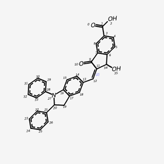 O=C(O)c1ccc2c(c1)C(=O)/C(=C\c1ccc3c(c1)CC(c1ccccc1)N3c1ccccc1)C2O